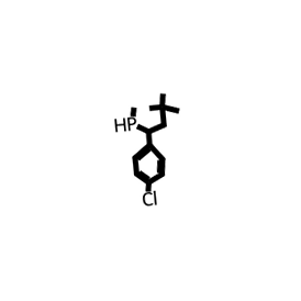 CPC(CC(C)(C)C)c1ccc(Cl)cc1